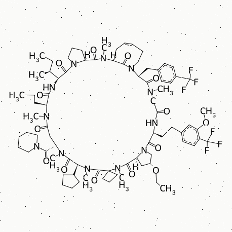 CCC[C@H]1C(=O)N[C@@H]([C@@H](C)CC)C(=O)N2CCC[C@H]2C(=O)N(C)[C@H]2C/C=C\CCN(C2=O)[C@@H](Cc2ccc(C(F)(F)F)cc2)C(=O)N(C)CC(=O)N[C@@H](CCc2ccc(C(F)(F)F)c(OC)c2)C(=O)N2C[C@H](OCC)C[C@H]2C(=O)N(C)C2(CCC2)C(=O)N(C)[C@@H](C2CCCC2)C(=O)N(C)[C@H](C(=O)N2CCCCC2)CC(=O)N1C